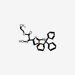 C=CCOC(=O)/C(=N\O)c1csc(NC(c2ccccc2)(c2ccccc2)c2ccccc2)n1